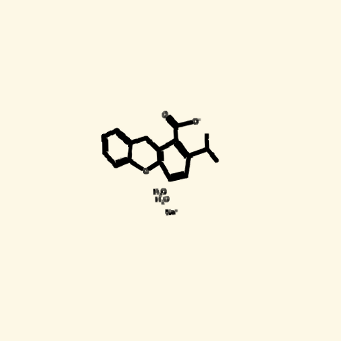 CC(C)c1ccc2c(c1C(=O)[O-])Cc1ccccc1O2.O.O.[Na+]